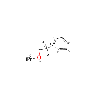 CC(C)OCC(C)(C)c1ccccc1